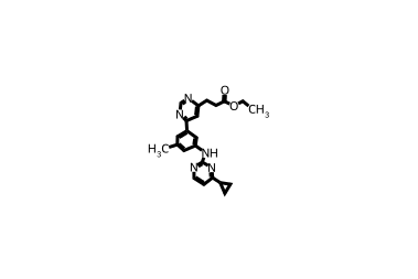 CCOC(=O)CCc1cc(-c2cc(C)cc(Nc3nccc(C4CC4)n3)c2)ncn1